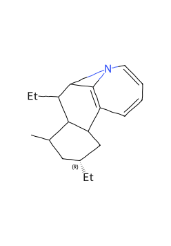 CCC1C2C(C)C[C@@H](CC)CC2C2=C3C1N3C=CC=C2